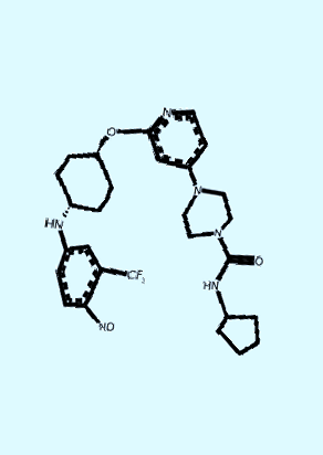 O=Nc1ccc(N[C@H]2CC[C@H](Oc3cc(N4CCN(C(=O)NC5CCCC5)CC4)ccn3)CC2)cc1C(F)(F)F